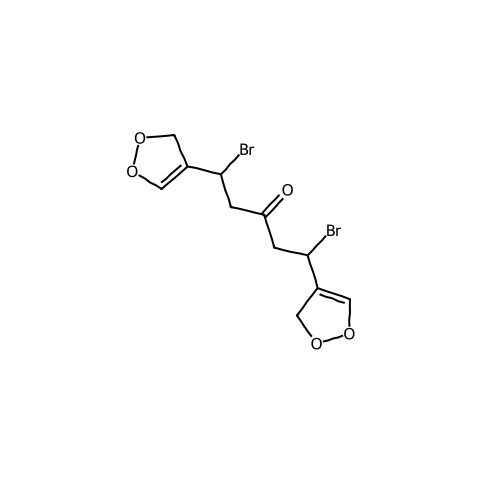 O=C(CC(Br)C1=COOC1)CC(Br)C1=COOC1